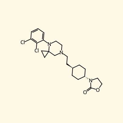 O=C1OCCN1[C@H]1CC[C@H](CCN2CCN(c3cccc(Cl)c3Cl)C3(CC3)C2)CC1